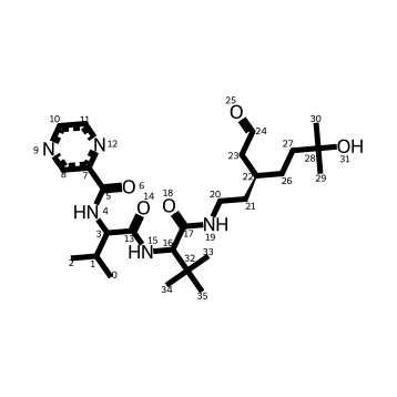 CC(C)C(NC(=O)c1cnccn1)C(=O)NC(C(=O)NCC[C@@H](CC=O)CCC(C)(C)O)C(C)(C)C